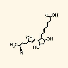 CC(C#N)CCC(O)/C=C/[C@H]1C(O)CC(O)[C@@H]1C/C=C/CCCC(=O)O